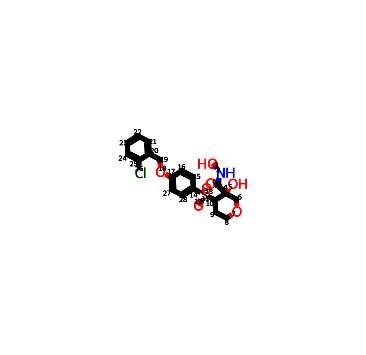 O=C(NO)C1(O)COCCC1S(=O)(=O)c1ccc(OCc2ccccc2Cl)cc1